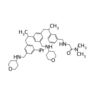 CC(C)c1cc(CNC2CCOCC2)cc(CC(C)c2cc(CNC3CCOCC3)cc(CC(C)c3cccc(CNCC(=O)N(C)C)c3)c2)c1